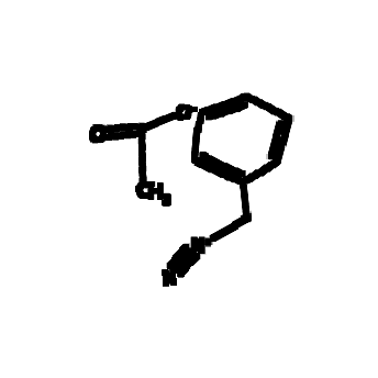 CC(=O)[O-].N#[N+]Cc1ccccc1